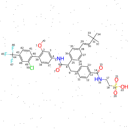 COc1cc(NC(=O)C(Cc2ccc(C(=O)NCCS(=O)(=O)O)cc2)c2ccc(/C=C/C(C)(C)C)cc2)ccc1-c1ccc(C(F)(F)F)cc1Cl